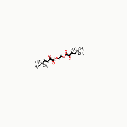 [CH3][Sn]([CH3])([CH3])[CH2]CC(=O)C(=O)OCCOC(=O)C(=O)C[CH2][Sn]([CH3])([CH3])[CH3]